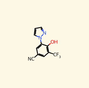 N#Cc1cc(-n2cccn2)c(O)c(C(F)(F)F)c1